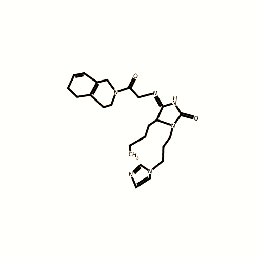 CCCCC1/C(=N\CC(=O)N2CCC3=C(C=CCC3)C2)NC(=O)N1CCCn1ccnc1